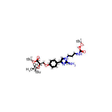 CC(C)(C)OOC(=O)NCCCn1cc(-c2ccc(OC[C@@H](O[Si](C)(C)C(C)(C)C)C(=O)OC(C)(C)C)cc2)nc1N